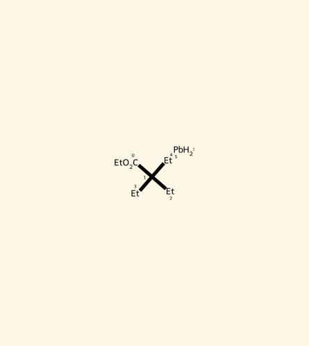 CCOC(=O)C(CC)(CC)CC.[PbH2]